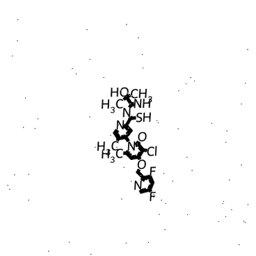 Cc1cnc(/C(S)=N/C(=N)C(C)(C)O)cc1-n1c(C)cc(OCc2ncc(F)cc2F)c(Cl)c1=O